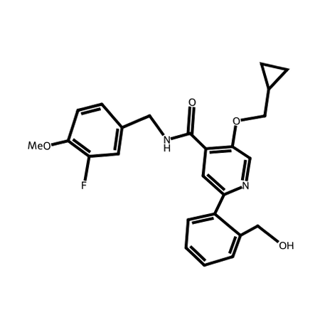 COc1ccc(CNC(=O)c2cc(-c3ccccc3CO)ncc2OCC2CC2)cc1F